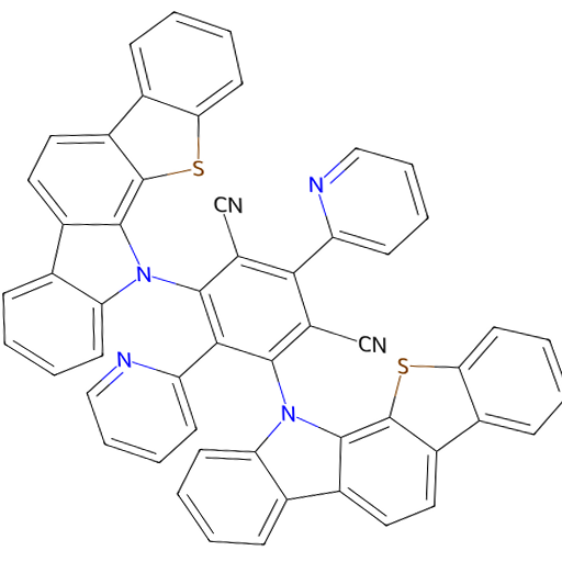 N#Cc1c(-c2ccccn2)c(C#N)c(-n2c3ccccc3c3ccc4c5ccccc5sc4c32)c(-c2ccccn2)c1-n1c2ccccc2c2ccc3c4ccccc4sc3c21